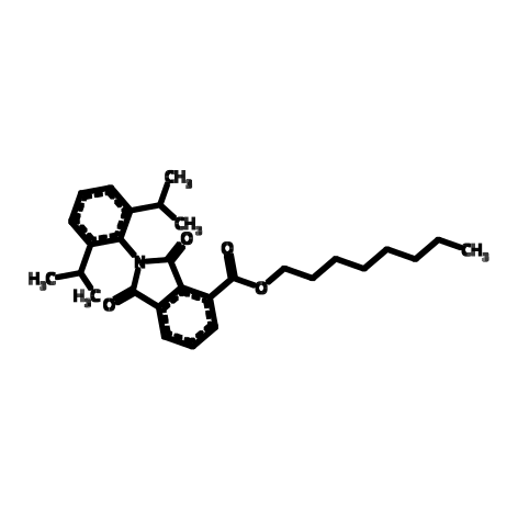 CCCCCCCCOC(=O)c1cccc2c1C(=O)N(c1c(C(C)C)cccc1C(C)C)C2=O